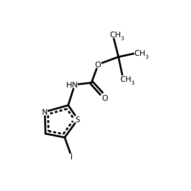 CC(C)(C)OC(=O)Nc1ncc(I)s1